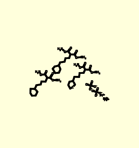 NOC(=O)C(CCCCN1CCCCC1)C(=O)ON.NOC(=O)C(CCCCN1CCCCC1)C(=O)ON.NOC(=O)C(CCCCN1CCCCC1)C(=O)ON.O=P([O-])([O-])[O-].O=P([O-])([O-])[O-].[Pt+2].[Pt+2].[Pt+2]